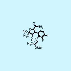 CO[C@@H](C)COc1c(C2C(C(N)=O)OC(C)(C(F)(F)F)C2C)ccc(F)c1F